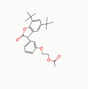 CC(=O)OCCOc1cccc(C2C(=O)Oc3c2cc(C(C)(C)C)cc3C(C)(C)C)c1